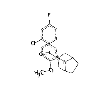 COc1ccccc1N1C2CCC1CN(C(=O)c1ccc(F)cc1Cl)C2